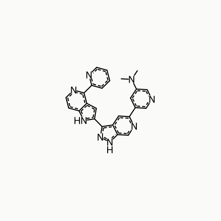 CN(C)c1cncc(-c2cc3c(-c4cc5c(-c6ccccn6)nccc5[nH]4)n[nH]c3cn2)c1